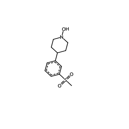 CS(=O)(=O)c1cccc(C2CCN(O)CC2)c1